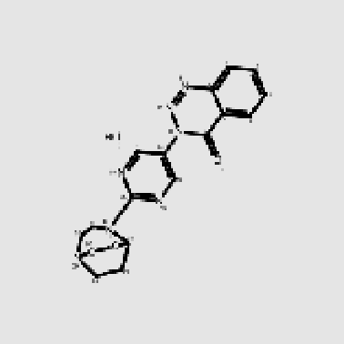 Cl.O=c1c2ccccc2nnn1-c1cnc(N2CCN3CCC2CC3)nc1